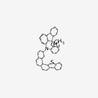 CC1(C)c2ccccc2-c2cccc(N(c3ccccc3)c3ccc4ccc5ccc6c7ccccc7sc6c5c4c3)c21